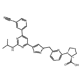 CC(C)Nc1nc(-c2cccc(C#N)c2)cc(-c2cn(Cc3cccc(N4CCC[C@H]4C(=O)O)n3)nn2)n1